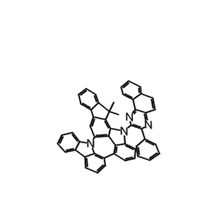 CC1(C)c2ccccc2-c2cc3c4c5c(cccc5n(-c5nc6c(ccc7ccccc76)nc5-c5ccccc5)c4c21)c1cccc2c4ccccc4n3c12